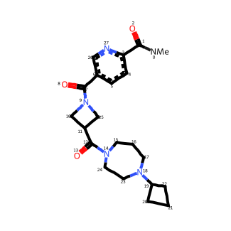 CNC(=O)c1ccc(C(=O)N2CC(C(=O)N3CCCN(C4CCC4)CC3)C2)cn1